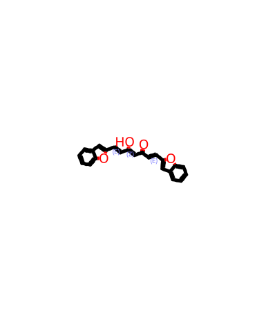 O=C(/C=C(O)/C=C/c1cc2ccccc2o1)/C=C/c1cc2ccccc2o1